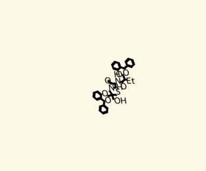 CCC(C(=O)NC1C(=O)N2CC(CO)(C(=O)OC(c3ccccc3)c3ccccc3)CS[C@H]12)C(=O)OC(c1ccccc1)c1ccccc1